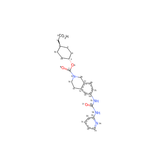 O=C(O)C[C@H]1CC[C@H](OC(=O)N2CCc3cc(NC(=O)Nc4ccccn4)ccc3C2)CC1